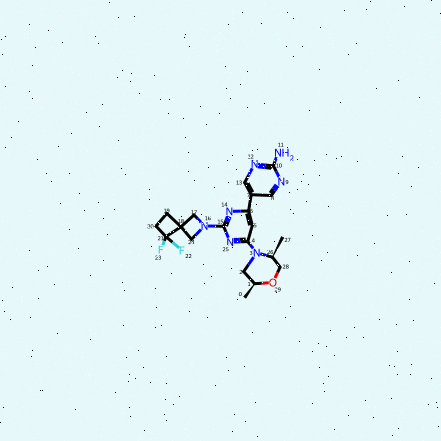 C[C@H]1CN(c2cc(-c3cnc(N)nc3)nc(N3CC4(CCC4(F)F)C3)n2)[C@@H](C)CO1